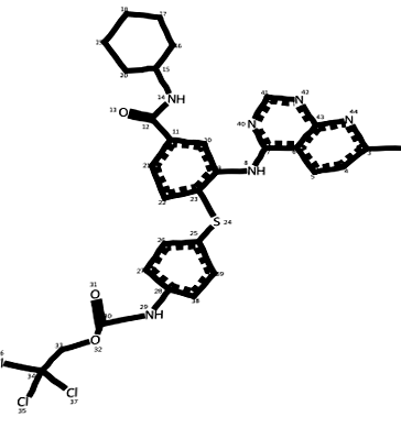 CC(C)c1ccc2c(Nc3cc(C(=O)NC4CCCCC4)ccc3Sc3ccc(NC(=O)OCC(Cl)(Cl)Cl)cc3)ncnc2n1